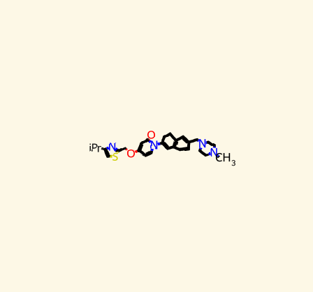 CC(C)c1csc(COc2ccn(C3=Cc4ccc(CN5CCN(C)CC5)cc4CC3)c(=O)c2)n1